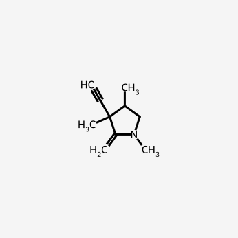 C#CC1(C)C(=C)N(C)CC1C